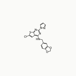 Clc1cc2c(NCc3ccc4c(c3)OCO4)nc(-n3cccn3)nc2s1